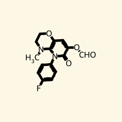 CN1CCOc2cc(OC=O)c(=O)n(-c3ccc(F)cc3)c21